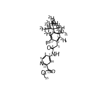 [2H]c1c(CC(=O)Nc2ccnc(C(=O)OC)c2)c(F)cc(C(C([2H])([2H])[2H])(C([2H])([2H])[2H])C([2H])([2H])[2H])c1OC